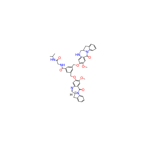 COc1cc2c(cc1OCc1cc(COc3cc4c(cc3OC)C(=O)N3c5ccccc5CC3CN4)cc(C(=O)NCC(=O)NC(C)C)c1)N=C[C@@H]1Cc3ccccc3N1C2=O